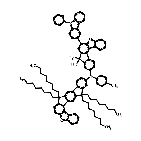 CCCCCCCCC1(CCCCCCCC)c2cc(N(c3ccc(C)cc3)c3ccc4c(c3)C(C)(C)c3cc(-c5ccc6c(c5)c5ccccc5n6-c5ccccc5)c5oc6ccccc6c5c3-4)ccc2-c2cc3c(cc21)-c1c(ccc2oc4ccccc4c12)C3(CCCCCCCC)CCCCCCCC